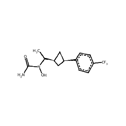 CC([C@H]1C[C@@H](c2ccc(C(F)(F)F)cc2)C1)N(O)C(N)=O